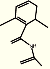 C=C(C)NC(=C)C1=C(C)C=CCC1C